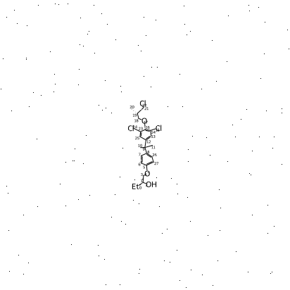 CC[C@H](O)COc1ccc(C(C)(C)c2cc(Cl)c(OC[C@H](C)CCl)c(Cl)c2)cc1